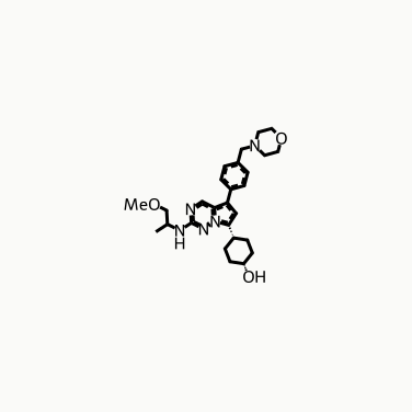 COCC(C)Nc1ncc2c(-c3ccc(CN4CCOCC4)cc3)cc([C@H]3CC[C@@H](O)CC3)n2n1